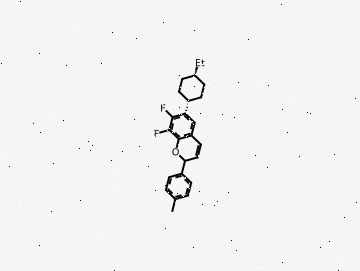 CC[C@H]1CC[C@H](c2cc3c(c(F)c2F)OC(c2ccc(C)cc2)C=C3)CC1